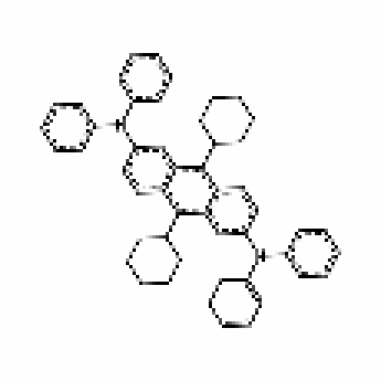 C1=CCCC(N(c2ccccc2)c2ccc3c(C4CCCCC4)c4cc(N(c5ccccc5)c5ccccc5)ccc4c(C4CCCCC4)c3c2)=C1